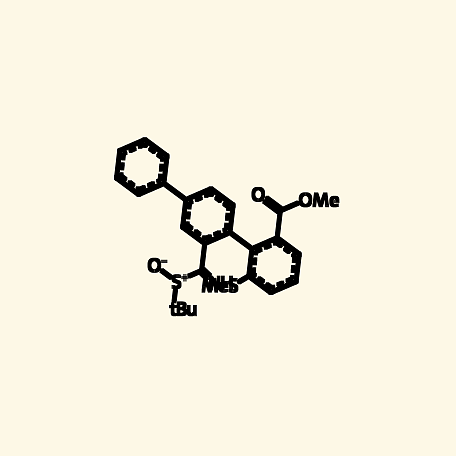 COC(=O)c1cccc(SC)c1-c1ccc(-c2ccccc2)cc1C(=N)[S+]([O-])C(C)(C)C